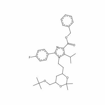 CC(C)c1c(C(=O)OCc2ccccc2)nc(-c2ccc(F)cc2)n1CCC1CC(COC(C)(C)C)OC(C)(C)O1